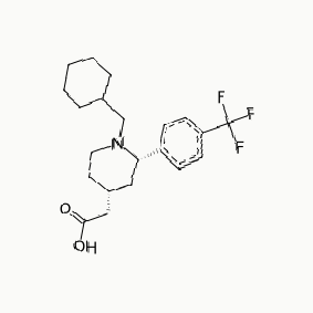 O=C(O)C[C@@H]1CCN(CC2CCCCC2)[C@H](c2ccc(C(F)(F)F)cc2)C1